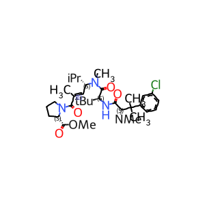 CN[C@H](C(=O)N[C@H](C(=O)N(C)[C@H](/C=C(\C)C(=O)N1CCC[C@H]1C(=O)OC)C(C)C)C(C)(C)C)C(C)(C)c1cccc(Cl)c1